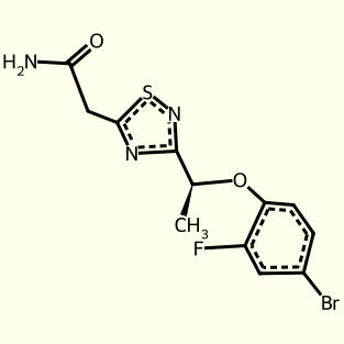 C[C@H](Oc1ccc(Br)cc1F)c1nsc(CC(N)=O)n1